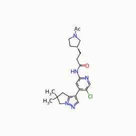 CC(=O)N1CC[C@H](CCC(=O)Nc2cc(-c3cnn4c3CC(C)(C)C4)c(Cl)cn2)C1